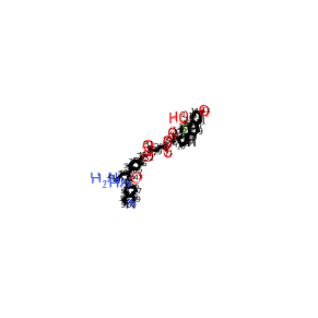 C[C@]12C[C@H](O)[C@@]3(F)[C@@H](CCC4=CC(=O)C=C[C@@]43C)[C@@H]1CC[C@@H]2C(=O)COC(=O)CCC(=O)OCc1ccc(C(CCN)C(=O)Nc2ccc3cnccc3c2)cc1